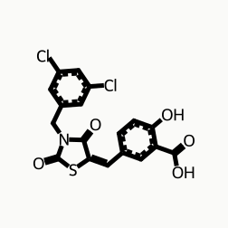 O=C(O)c1cc(C=C2SC(=O)N(Cc3cc(Cl)cc(Cl)c3)C2=O)ccc1O